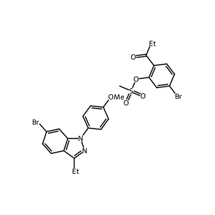 CCC(=O)c1ccc(Br)cc1OS(C)(=O)=O.CCc1nn(-c2ccc(OC)cc2)c2cc(Br)ccc12